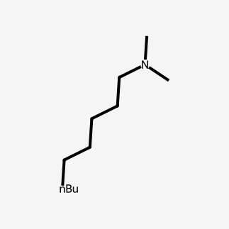 [CH2]CCCCCCCCN(C)C